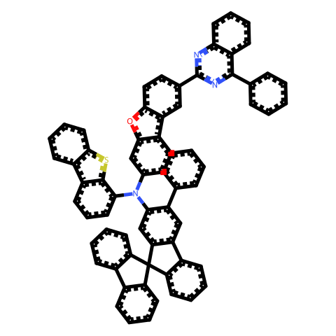 c1ccc(-c2cc3c(cc2N(c2ccc4c(c2)oc2ccc(-c5nc(-c6ccccc6)c6ccccc6n5)cc24)c2cccc4c2sc2ccccc24)C2(c4ccccc4-c4ccccc42)c2ccccc2-3)cc1